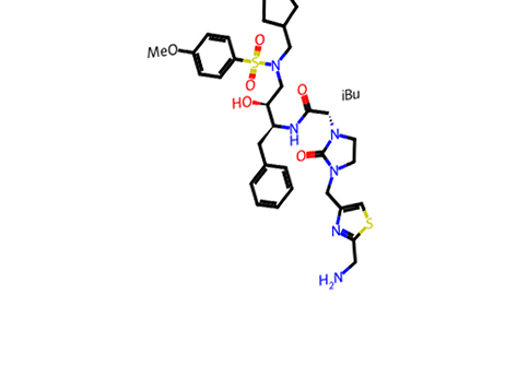 CC[C@H](C)[C@@H](C(=O)N[C@@H](Cc1ccccc1)[C@@H](O)CN(CC1CCCC1)S(=O)(=O)c1ccc(OC)cc1)N1CCN(Cc2csc(CN)n2)C1=O